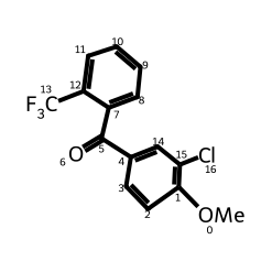 COc1ccc(C(=O)c2ccccc2C(F)(F)F)cc1Cl